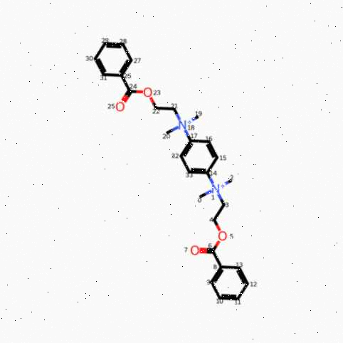 C[N+](C)(CCOC(=O)c1ccccc1)c1ccc([N+](C)(C)CCOC(=O)c2ccccc2)cc1